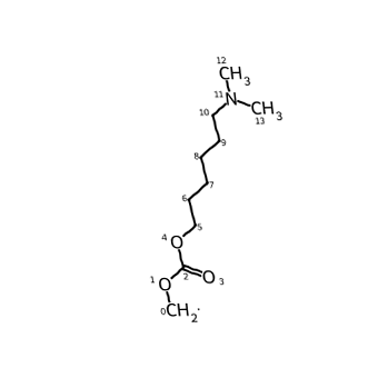 [CH2]OC(=O)OCCCCCCN(C)C